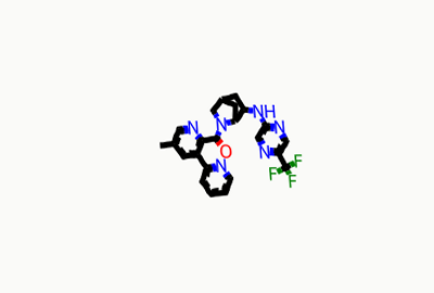 Cc1cnc(C(=O)N2CC3CC(Nc4cnc(C(F)(F)F)cn4)C2C3)c(-c2ccccn2)c1